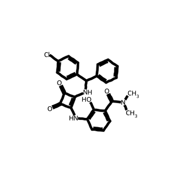 CN(C)C(=O)c1cccc(Nc2c(NC(c3ccccc3)c3ccc(Cl)cc3)c(=O)c2=O)c1O